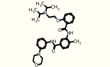 Cc1ccc(C(=O)Nc2cccc(N3CCOCC3)c2)cc1NC(=O)c1ccccc1OCCN(C(C)C)C(C)C